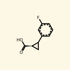 O=C(O)[C@@H]1CC1c1cccc(F)c1